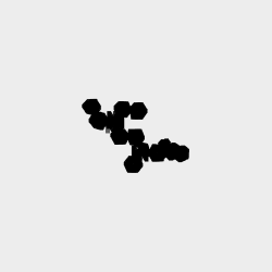 CC1(C)c2cc(-c3cc(-c4cccc(-c5cccc(-c6nc(-c7cccc(-c8ccccc8)c7)nc(-c7cccc(-c8ccccc8)c7)n6)c5)c4)nc(-c4ccccc4)n3)ccc2-c2cc3ccccc3cc21